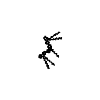 CCCCCCCCCCC1(CCCCCCCCCC)c2ccccc2-c2ccc(-c3ccc4c(c3)c3cc(-c5ccc6c(c5)C(CCCCCCCCCC)(CCCCCCCCCC)c5ccccc5-6)ccc3n4CCCCCCCC)cc21